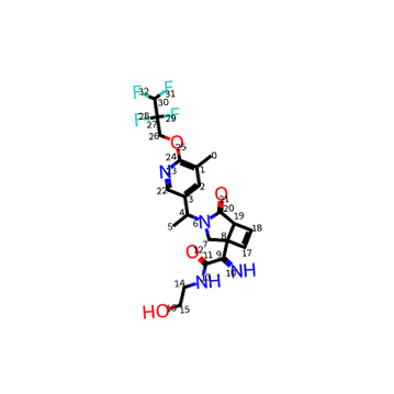 Cc1cc(C(C)N2CC3(C(=N)C(=O)NCCO)C=CC3C2=O)cnc1OCC(F)(F)C(F)F